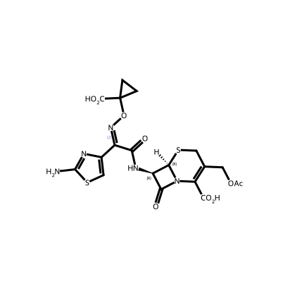 CC(=O)OCC1=C(C(=O)O)N2C(=O)[C@@H](NC(=O)/C(=N\OC3(C(=O)O)CC3)c3csc(N)n3)[C@H]2SC1